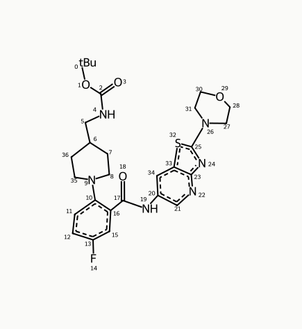 CC(C)(C)OC(=O)NCC1CCN(c2ccc(F)cc2C(=O)Nc2cnc3nc(N4CCOCC4)sc3c2)CC1